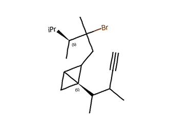 C#CC(C)C(C)[C@@]12CC1C2CC(C)(Br)[C@@H](C)C(C)C